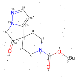 CC(C)(C)OC(=O)N1CCC2(CC1)C(=O)Cn1nccc12